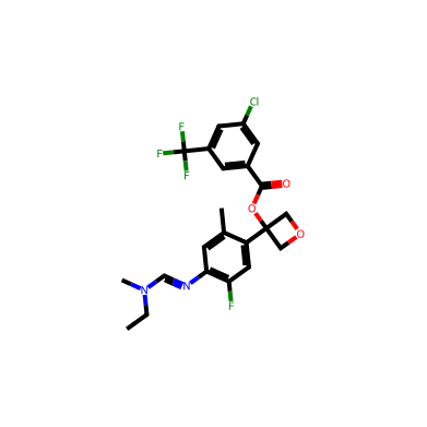 CCN(C)C=Nc1cc(C)c(C2(OC(=O)c3cc(Cl)cc(C(F)(F)F)c3)COC2)cc1F